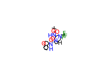 CC(C)(C)OC(=O)N[C@H]1CN(CC(F)(F)F)CC[C@H]2CC[C@@H](C(=O)N[C@@H]3CCOc4ccccc43)N2C1=O